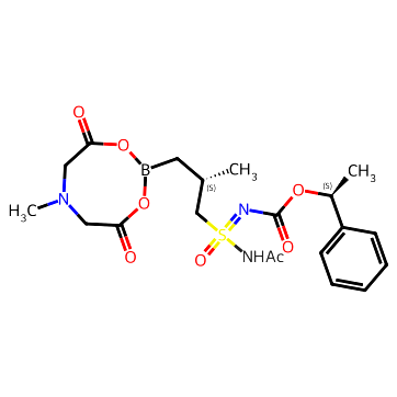 CC(=O)NS(=O)(C[C@@H](C)CB1OC(=O)CN(C)CC(=O)O1)=NC(=O)O[C@@H](C)c1ccccc1